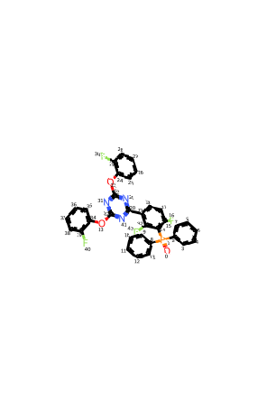 O=P(c1ccccc1)(c1ccccc1)c1c(F)ccc(-c2nc(Oc3ccccc3F)nc(Oc3ccccc3F)n2)c1F